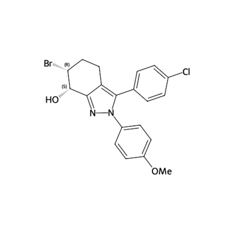 COc1ccc(-n2nc3c(c2-c2ccc(Cl)cc2)CC[C@@H](Br)[C@H]3O)cc1